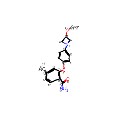 CCCOC1CN(c2ccc(Oc3cc(C(C)=O)ccc3C(N)=O)cc2)C1